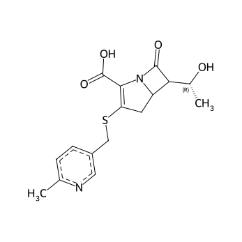 Cc1ccc(CSC2=C(C(=O)O)N3C(=O)C([C@@H](C)O)C3C2)cn1